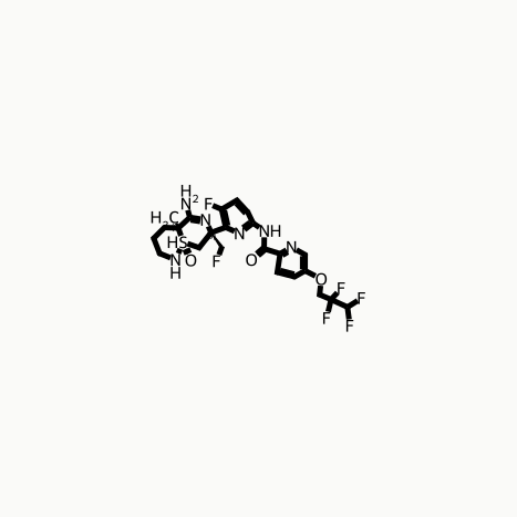 C[C@@]12CCCN[SH]1(=O)C[C@@](CF)(c1nc(NC(=O)c3ccc(OCC(F)(F)C(F)F)cn3)ccc1F)N=C2N